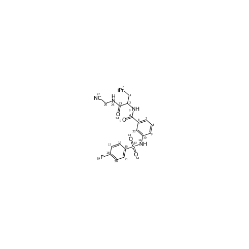 CC(C)CC(NC(=O)c1cccc(NS(=O)(=O)c2ccc(F)cc2)c1)C(=O)NCC#N